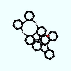 c1ccc(-c2cccc3c2-c2c(cccc2-c2cccc4c5ccccc5n(-c5ccccc5)c24)Sc2ccccc2-c2ccccc2S3)cc1